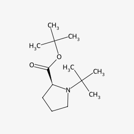 CC(C)(C)OC(=O)[C@@H]1CCCN1C(C)(C)C